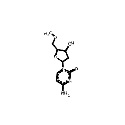 COCC1OC(n2ccc(N)nc2=O)CC1O